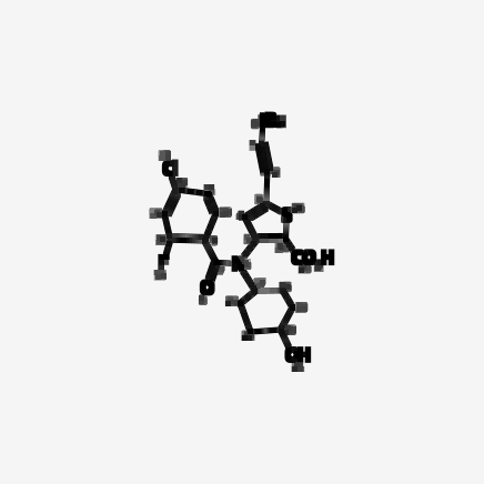 CC(C)(C)C#Cc1cc(N(C(=O)c2ccc(Cl)cc2F)C2CCC(O)CC2)c(C(=O)O)s1